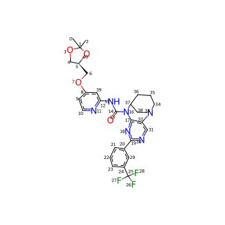 CC1(C)OC[C@H](COc2ccnc(NC(=O)N3c4nc(-c5cccc(C(F)(F)F)c5)ncc4N4CCCC3C4)c2)O1